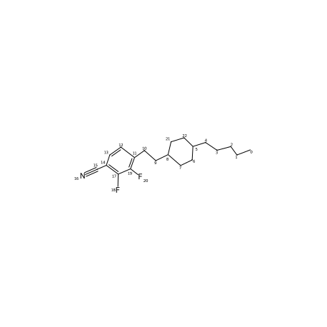 CCCCCC1CCC(CCc2ccc(C#N)c(F)c2F)CC1